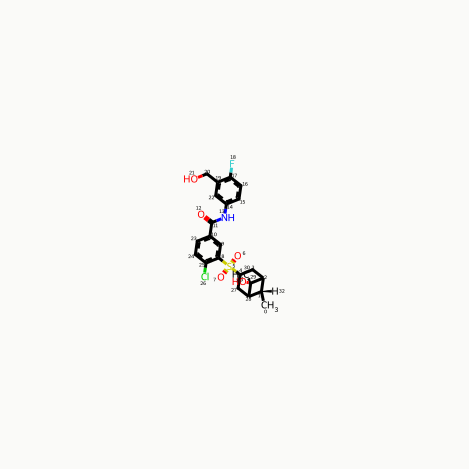 C[C@H]1C2CC(S(=O)(=O)c3cc(C(=O)Nc4ccc(F)c(CO)c4)ccc3Cl)CC1[C@]2(C)O